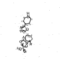 O=C1N2C[C@H](CC[C@H]2c2nnc(C3CCNCC3)o2)N1OS(=O)(=O)O